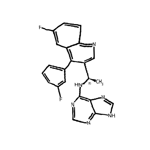 C[C@@H](Nc1ncnc2[nH]cnc12)c1cnc2ccc(F)cc2c1-c1cccc(F)c1